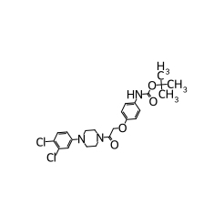 CC(C)(C)OC(=O)Nc1ccc(OCC(=O)N2CCN(c3ccc(Cl)c(Cl)c3)CC2)cc1